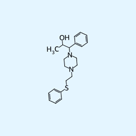 CC(O)C(c1ccccc1)N1CCN(CCSc2ccccc2)CC1